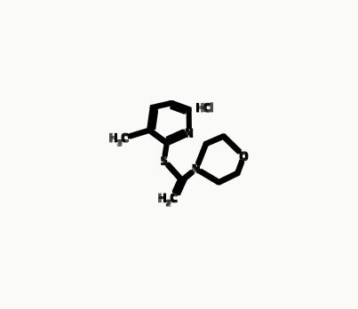 C=C(Sc1ncccc1C)N1CCOCC1.Cl